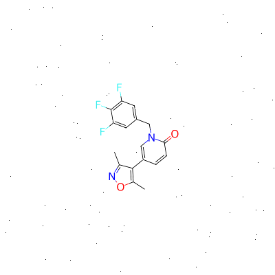 Cc1noc(C)c1-c1ccc(=O)n(Cc2cc(F)c(F)c(F)c2)c1